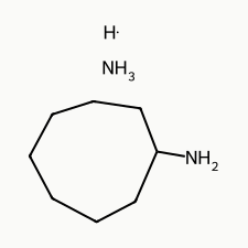 N.NC1CCCCCCC1.[H]